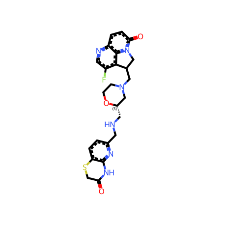 O=C1CSc2ccc(CNC[C@H]3CN(CC4Cn5c(=O)ccc6ncc(F)c4c65)CCO3)nc2N1